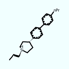 CC=C[Si@H]1CC[C@H](c2ccc(-c3ccc(CCC)cc3)cc2)CC1